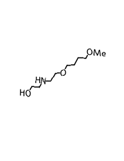 COCCCCOCCNCCO